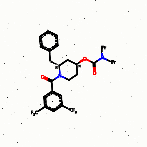 CC(C)N(C(=O)O[C@H]1CCN(C(=O)c2cc(C(F)(F)F)cc(C(F)(F)F)c2)[C@H](Cc2ccccc2)C1)C(C)C